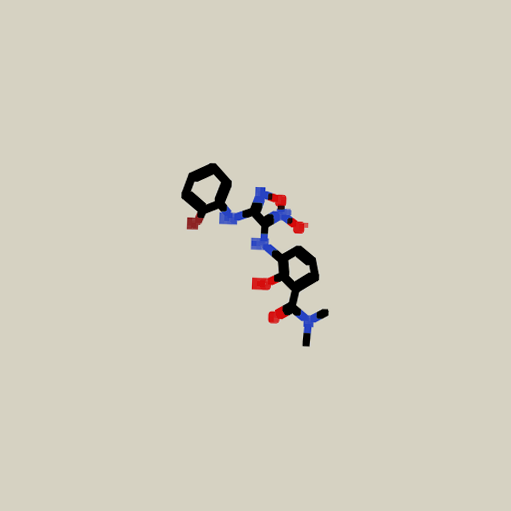 CN(C)C(=O)c1cccc(Nc2c(Nc3ccccc3Br)no[n+]2[O-])c1O